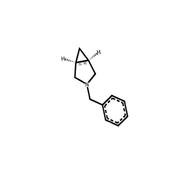 c1ccc(CN2C[C@H]3C[C@H]3C2)cc1